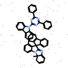 CC12CC=CC=C1N=C1N2c2cccc(-c3ccc4c(c3)c3ccccc3n4-c3nc(-c4ccccc4)nc(-c4ccccc4)n3)c2C12C1=C(C=CCC1)c1ccccc12